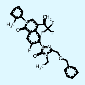 C=C(c1cn(-c2ccccc2C)c(=O)c2cc(F)c(-n3nc(COCc4ccccc4)n(CC)c3=O)cc12)C(F)(F)F